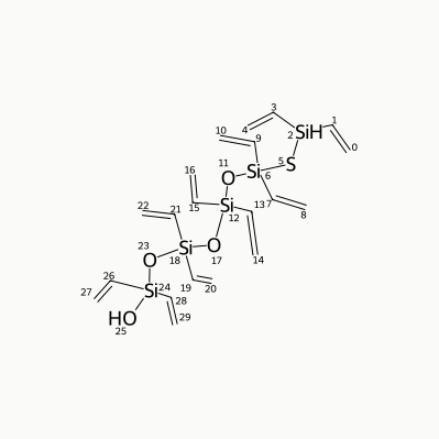 C=C[SiH](C=C)S[Si](C=C)(C=C)O[Si](C=C)(C=C)O[Si](C=C)(C=C)O[Si](O)(C=C)C=C